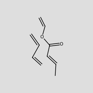 C=CC=C.C=COC(=O)C=CC